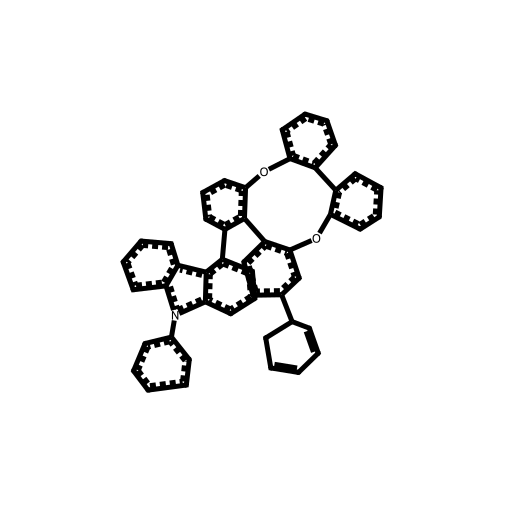 C1=CCC(c2ccc3c(c2)Oc2ccccc2-c2ccccc2Oc2cccc(-c4cccc5c4c4ccccc4n5-c4ccccc4)c2-3)C=C1